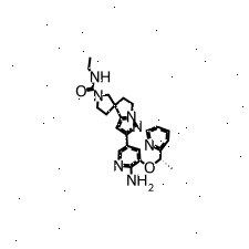 CCNC(=O)N1CCC2(CCn3nc(-c4cnc(N)c(O[C@@H](C)c5ccccn5)c4)cc32)C1